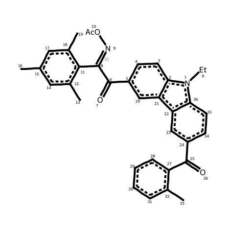 CCn1c2ccc(C(=O)/C(=N/OC(C)=O)c3c(C)cc(C)cc3C)cc2c2cc(C(=O)c3ccccc3C)ccc21